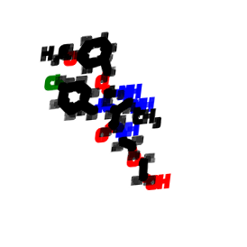 CNC1NC(OCc2cccc(OC)c2)N(Cc2ccc(Cl)cc2)C1C(=O)NCCOCCO